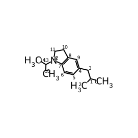 CC(C)Cc1ccc2c(c1)CCN2C(C)C